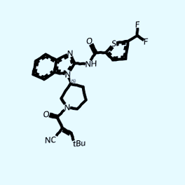 CC(C)(C)C=C(C#N)C(=O)N1CCC[C@H](n2c(NC(=O)c3ccc(C(F)F)s3)nc3ccccc32)C1